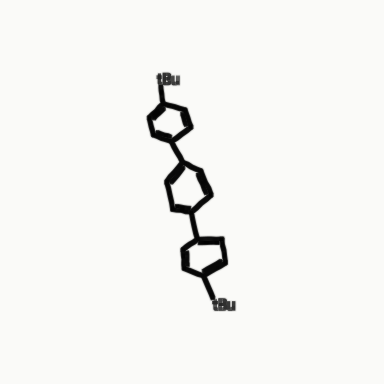 CC(C)(C)c1ccc(-c2ccc(-c3ccc(C(C)(C)C)cc3)cc2)cc1